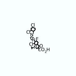 O=C(O)c1cn(C2CC2)c2c(Cl)c(N3CCC(N=Cc4ccc(Cl)cc4Cl)C3)c(F)cc2c1=O